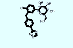 OC[C@H]1O[C@@H](c2ccc(Cl)c(Cc3ccc(-c4ncon4)cc3)c2)[C@H](O)[C@@H](O)[C@@H]1O